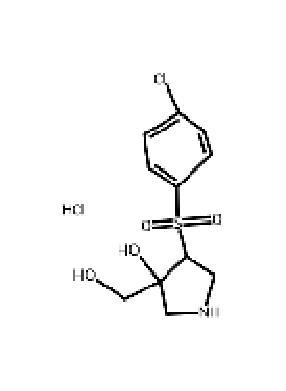 Cl.O=S(=O)(c1ccc(Cl)cc1)C1CNCC1(O)CO